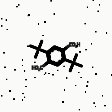 C[Si](C)(C)c1cc(C(=O)O)c([Si](C)(C)C)cc1C(=O)O